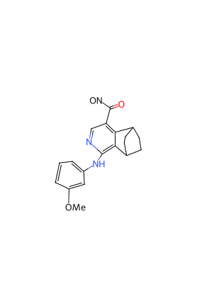 COc1cccc(Nc2ncc(C(=O)N=O)c3c2C2CCC3CC2)c1